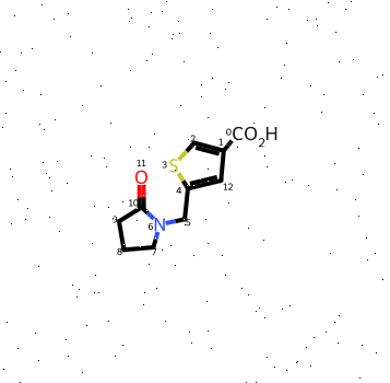 O=C(O)c1csc(CN2CCCC2=O)c1